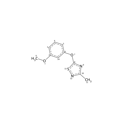 COc1cccc(Oc2nc(C)ns2)c1